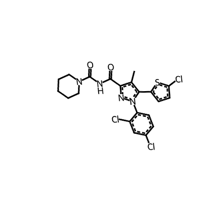 Cc1c(C(=O)NC(=O)N2CCCCC2)nn(-c2ccc(Cl)cc2Cl)c1-c1ccc(Cl)s1